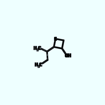 CCC(C)C1SCC1O